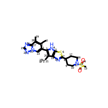 Cc1c(-c2[nH]c3sc(C4CCN(S(C)(=O)=O)CC4)nc3c2C(C)C)cn2ncnc2c1C